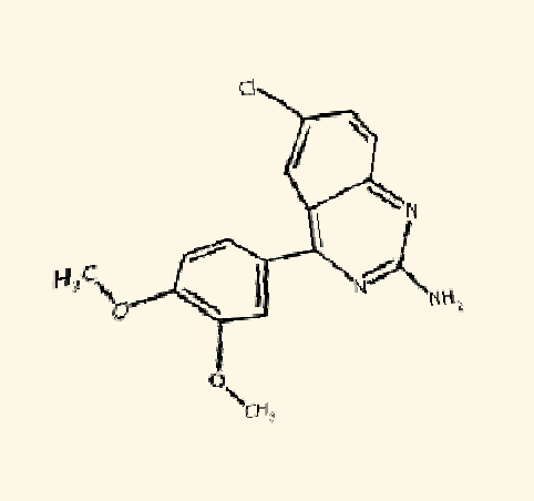 COc1ccc(-c2nc(N)nc3ccc(Cl)cc23)cc1OC